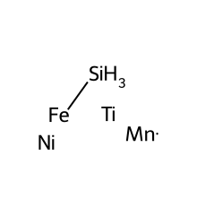 [Mn].[Ni].[SiH3][Fe].[Ti]